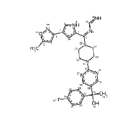 Cc1cc(-c2c[nH]c(/C(=N\C=N)N3CCN(c4ncc([C@](C)(O)c5ccc(F)cc5)cn4)CC3)c2)no1